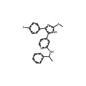 CSc1nc(-c2ccc(F)cc2)c(-c2ccnc(NC(C)c3ccccc3)c2)[nH]1